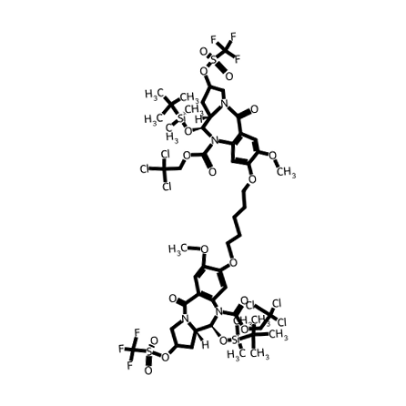 COc1cc2c(cc1OCCCCCOc1cc3c(cc1OC)C(=O)N1CC(OS(=O)(=O)C(F)(F)F)C[C@H]1[C@H](O[Si](C)(C)C(C)(C)C)N3C(=O)OCC(Cl)(Cl)Cl)N(C(=O)OCC(Cl)(Cl)Cl)[C@@H](O[Si](C)(C)C(C)(C)C)[C@@H]1CC(OS(=O)(=O)C(F)(F)F)CN1C2=O